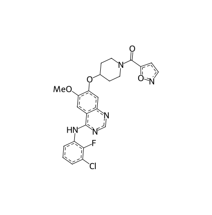 COc1cc2c(Nc3cccc(Cl)c3F)ncnc2cc1OC1CCN(C(=O)c2ccno2)CC1